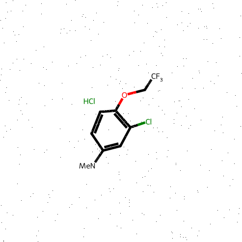 CNc1ccc(OCC(F)(F)F)c(Cl)c1.Cl